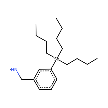 CCC[CH2][Sn]([CH2]CCC)([CH2]CCC)[c]1cccc(C[NH])c1